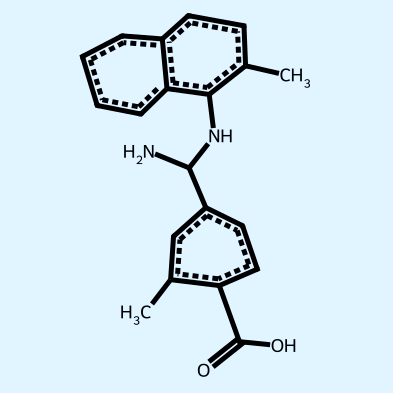 Cc1cc(C(N)Nc2c(C)ccc3ccccc23)ccc1C(=O)O